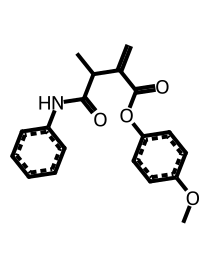 C=C(C(=O)Oc1ccc(OC)cc1)C(C)C(=O)Nc1ccccc1